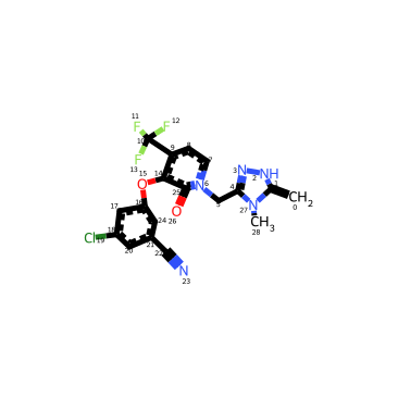 C=C1NN=C(Cn2ccc(C(F)(F)F)c(Oc3cc(Cl)cc(C#N)c3)c2=O)N1C